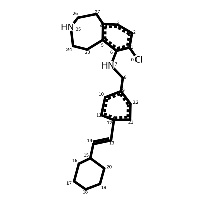 Clc1ccc2c(c1NCc1ccc(C=CC3CCCCC3)cc1)CCNCC2